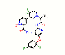 CC(C(=O)Nc1ccc(Oc2ccc(F)cc2F)cn1)N1CCC(F)(F)[C@@H](c2cc[n+]([O-])c(C(N)=O)c2)C1